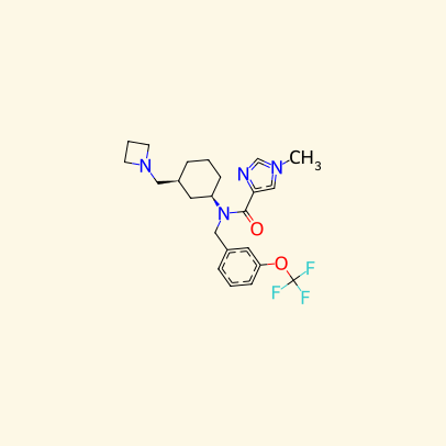 Cn1cnc(C(=O)N(Cc2cccc(OC(F)(F)F)c2)[C@@H]2CCC[C@H](CN3CCC3)C2)c1